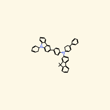 CC1(C)c2ccccc2-c2ccc(N(C3=CC=C(c4ccccc4)CC3)c3ccc(-c4ccc5c(c4)c4ccccc4n5C4C=CC=CC4)cc3)cc21